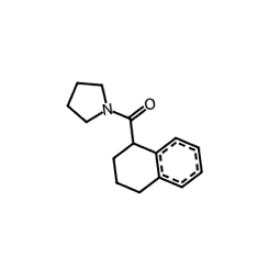 O=C(C1CCCc2ccccc21)N1CCCC1